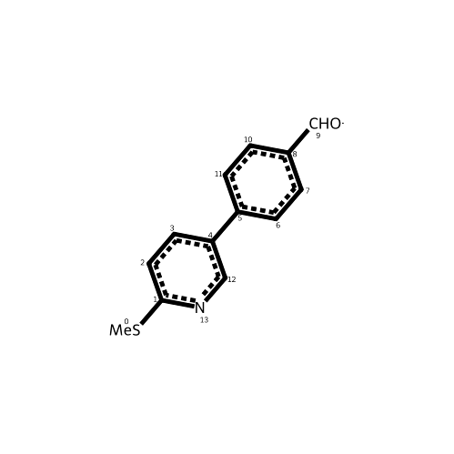 CSc1ccc(-c2ccc([C]=O)cc2)cn1